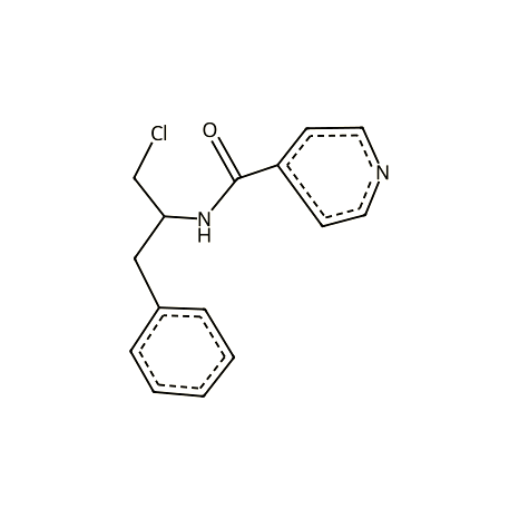 O=C(NC(CCl)Cc1ccccc1)c1ccncc1